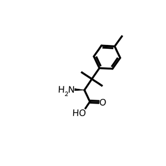 Cc1ccc(C(C)(C)[C@H](N)C(=O)O)cc1